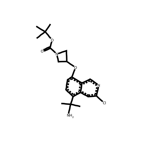 CC(C)(C)OC(=O)N1CC(Oc2ccc(C(C)(C)N)c3cc(Cl)ncc23)C1